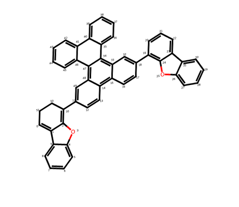 C1=c2c(oc3ccccc23)=C(c2ccc3c4ccc(-c5cccc6c5oc5ccccc56)cc4c4c5ccccc5c5ccccc5c4c3c2)CC1